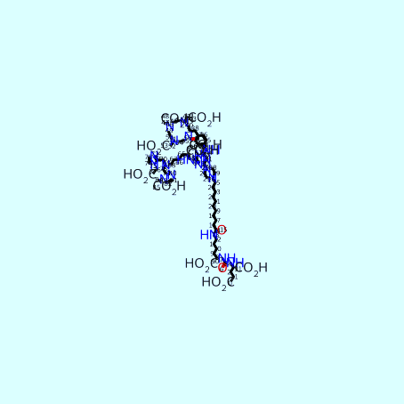 O=C(O)CC[C@H](NC(=O)N[C@@H](CCCCNC(=O)CCCCCCCCCCN1CCN(c2nc(Nc3ccc(CC4CN(CC(=O)O)CCN(CC(=O)O)CCN(CC(=O)O)CCN4CC(=O)O)cc3)nc(N[C@@H](CCCCN(Cc3nccn3CC(=O)O)Cc3nccn3CC(=O)O)C(=O)O)n2)CC1)C(=O)O)C(=O)O